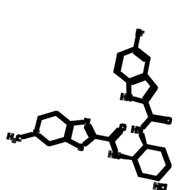 CN1CCc2nc(C(=O)N[C@@H]3CCCC[C@@H]3NC(=O)c3cc4cc(Br)ccc4[nH]3)sc2C1.Cl